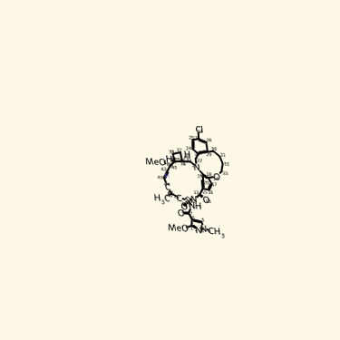 COc1nn(C)cc1C(=O)N[S@@]1(=O)=NC(=O)c2ccc3c(c2)N(Cc2ccc(Cl)cc2CCCCO3)C[C@@H]2CC[C@H]2[C@@H](OC)/C=C/C[C@H](C)C1